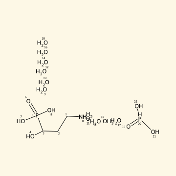 NCCC(O)P(=O)(O)O.O.O.O.O.O.O.O.O.O.O.O=[PH](O)O